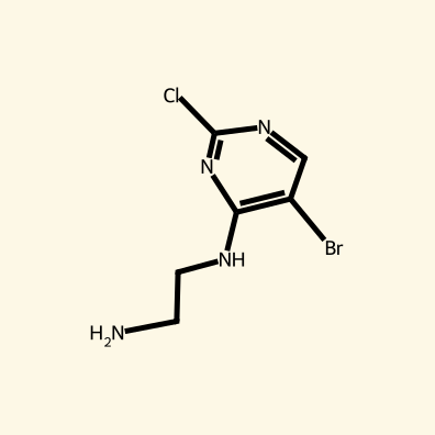 NCCNc1nc(Cl)ncc1Br